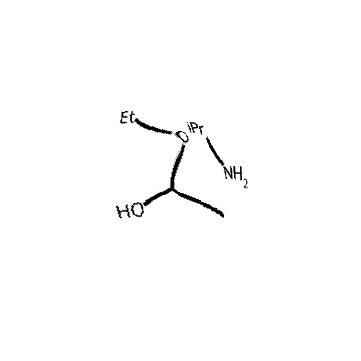 CC(C)N.CCOC(C)O